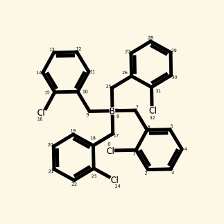 Clc1ccccc1C[B-](Cc1ccccc1Cl)(Cc1ccccc1Cl)Cc1ccccc1Cl